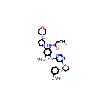 C=CC(=O)Nc1cc(Nc2cc(N3OCC[C@@H]3c3cccc(OC)c3)ncn2)c(OC)cc1N1CC[C@@H](N2CCOCC2)C1